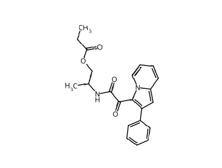 CCC(=O)OCC(C)NC(=O)C(=O)c1c(-c2ccccc2)cc2ccccn12